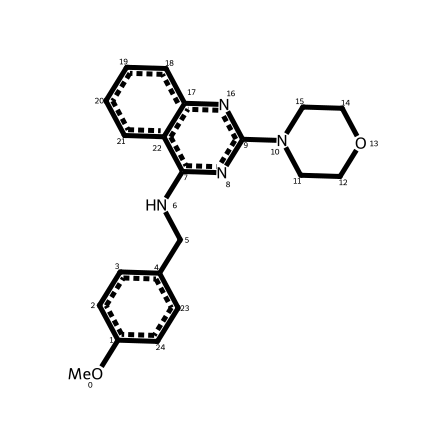 COc1ccc(CNc2nc(N3CCOCC3)nc3ccccc23)cc1